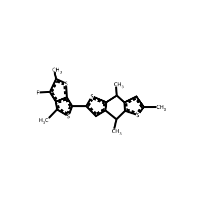 Cc1cc2c(s1)C(C)c1cc(-c3sc(C)c4c(F)c(C)sc34)sc1C2C